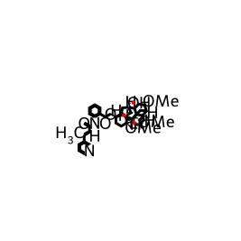 CCN1C[C@]2(OC(=O)c3ccccc3NC(=O)/C=C(\C)c3cccnc3)CC[C@H](OC)[C@]34C1[C@@H](C[C@H]23)[C@@]1(O)C[C@H](OC)[C@H]2C[C@@H]4[C@]1(O)C2OC